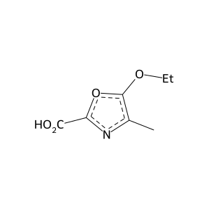 CCOc1oc(C(=O)O)nc1C